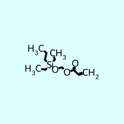 C=CC(=O)OCO[Si](CC)(CC)CCC